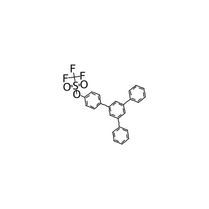 O=S(=O)(Oc1ccc(-c2cc(-c3ccccc3)cc(-c3ccccc3)c2)cc1)C(F)(F)F